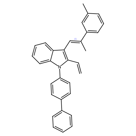 C=Cc1c(/C=C(\C)c2cccc(C)c2)c2ccccc2n1-c1ccc(-c2ccccc2)cc1